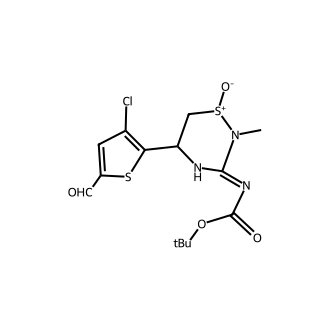 CN1C(=NC(=O)OC(C)(C)C)NC(c2sc(C=O)cc2Cl)C[S+]1[O-]